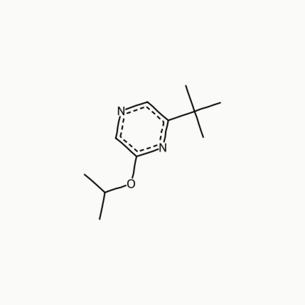 CC(C)Oc1cncc(C(C)(C)C)n1